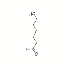 O=C(I)CCCCCO